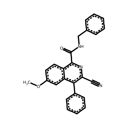 COc1ccc2c(C(=O)NCc3ccccc3)nc(C#N)c(-c3ccccc3)c2c1